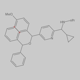 CCCNC(c1ccc(C(OC(c2ccccc2)c2ccccc2)c2ccc(OC)cc2)cn1)C1CC1